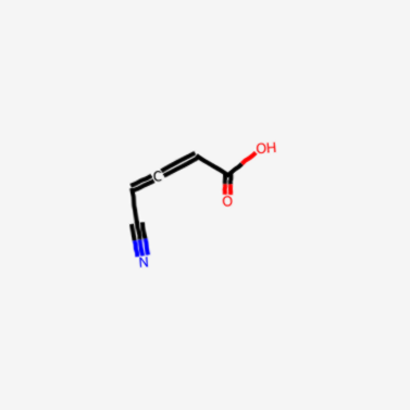 N#CC=C=CC(=O)O